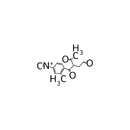 [C-]#[N+]c1ccc(C(=O)C(CC=O)C(C)=O)c(C)c1